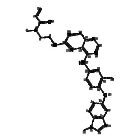 C=CC(=O)N(C)CCOc1ncc2ncnc(Nc3ccc(Oc4ccc5c(c4)ncn5C)c(C)c3)c2n1